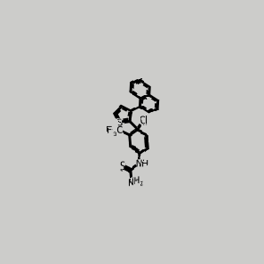 NC(=S)NC1=CC(C(F)(F)F)C(Cl)(c2sccc2-c2cccc3ccccc23)C=C1